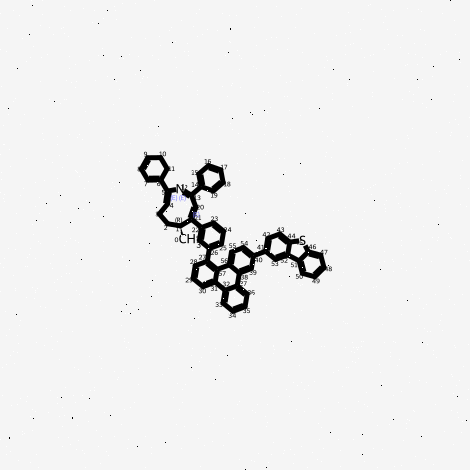 C[C@@H]1CC/C=C(C2=CC=CCC2)/N=C(c2ccccc2)\C=C/1c1cccc(-c2cccc3c4ccccc4c4cc(-c5ccc6sc7ccccc7c6c5)ccc4c23)c1